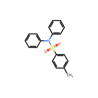 Cc1ccc(S(=O)(=O)N(c2ccccc2)c2ccccc2)cc1